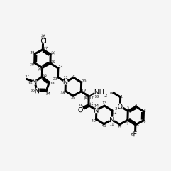 CCOc1cccc(F)c1CN1CCN(C(=O)[C@H](N)C2CCN(CCc3cc(Cl)ccc3-c3ccnn3C)CC2)CC1